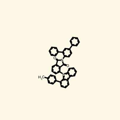 Cc1ccc(-c2cccc3c4ccccc4n(-c4cccc5c4C(=O)N(c4ccc(-c6ccccc6)cc4-c4ccccc4)C5=O)c23)cc1